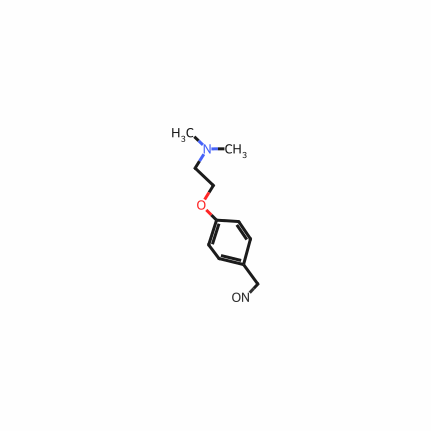 CN(C)CCOc1ccc(CN=O)cc1